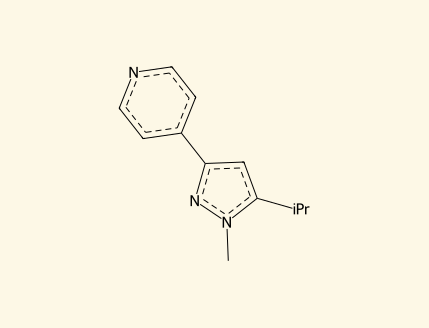 CC(C)c1cc(-c2ccncc2)nn1C